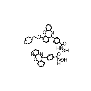 O=C(NO)c1ccc(C2=Nc3ccccc3Oc3c(OCCN4CCOCC4)cccc32)cc1.O=C(NO)c1ccc(C2=Nc3cccnc3Oc3ccccc32)cc1